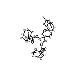 CC12CC3CC(C1)C1(OCC(COC(=O)C45CC6CC(C4)C(=O)C(C6)C5)(COC(=O)C45CC6CC(C4)C(=O)C(C6)C5)CO1)C(C3)C2